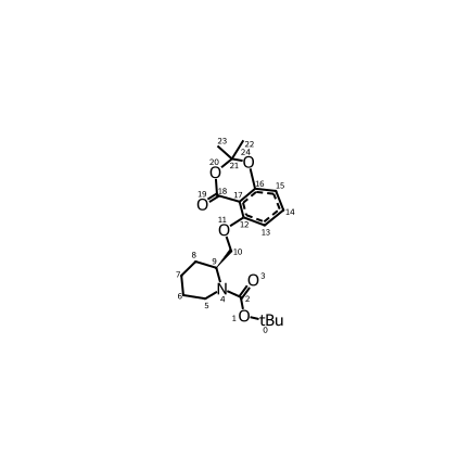 CC(C)(C)OC(=O)N1CCCC[C@H]1COc1cccc2c1C(=O)OC(C)(C)O2